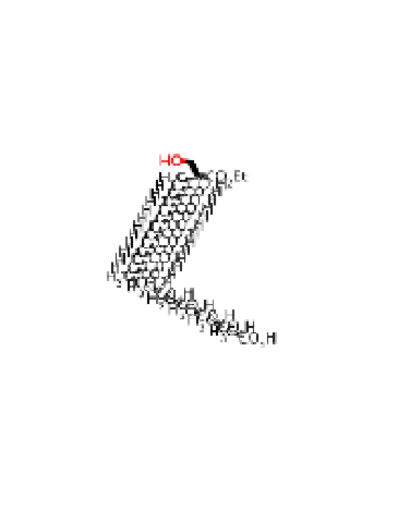 CC(=O)O.CC(=O)O.CC(=O)O.CC(=O)O.CC(=O)O.CC(=O)O.CC(=O)O.CC(=O)O.CC(=O)O.CC(=O)O.CC(=O)O.CC(=O)O.CC(=O)O.CC(=O)O.CC(=O)O.CC(=O)O.CC(=O)O.CC(=O)O.CCOC(=O)CCO